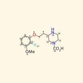 COc1cccc(OCCC2CN(C(=O)O)CCN2)c1F